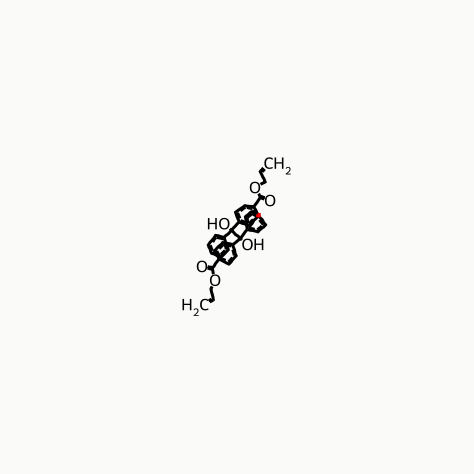 C=CCOC(=O)c1ccc(C(O)(c2ccccc2)C(O)(c2ccccc2)c2ccc(C(=O)OCC=C)cc2)cc1